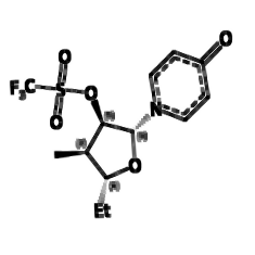 CC[C@H]1O[C@@H](n2ccc(=O)cc2)[C@H](OS(=O)(=O)C(F)(F)F)[C@@H]1C